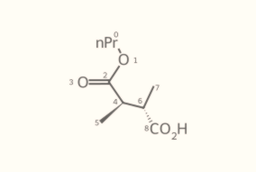 CCCOC(=O)[C@H](C)[C@H](C)C(=O)O